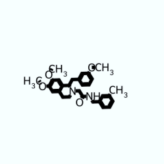 COc1cccc(CC2c3cc(OC)c(OC)cc3CCN2CC(=O)NCc2cccc(C)c2)c1